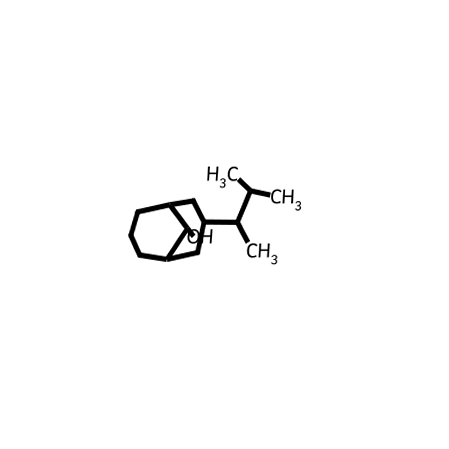 CC(C)C(C)C1CC2CCCC(C1)C2O